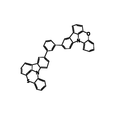 c1cc(-c2ccc3c(c2)c2cccc4c2n3-c2ccccc2O4)cc(-c2ccc3c(c2)c2cccc4c2n3-c2ccccc2S4)c1